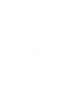 CN1C=CN(C)C1CC#N